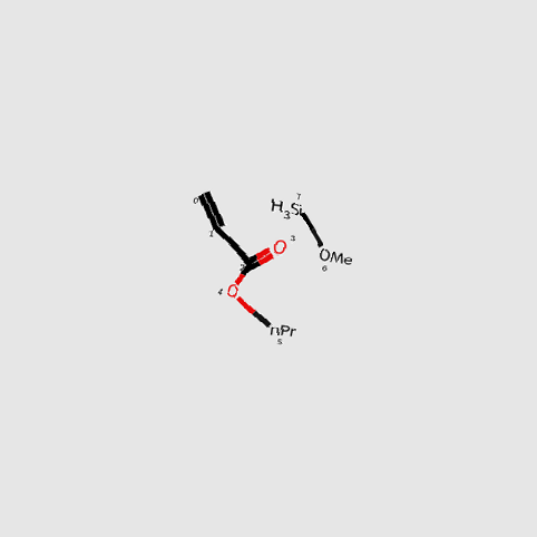 C=CC(=O)OCCC.CO[SiH3]